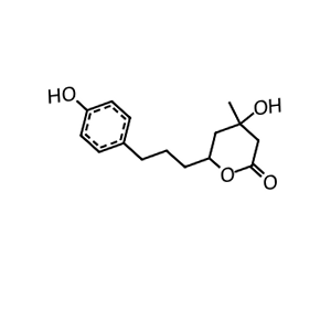 CC1(O)CC(=O)OC(CCCc2ccc(O)cc2)C1